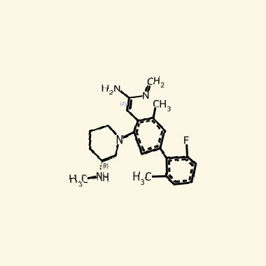 C=N/C(N)=C\c1c(C)cc(-c2c(C)cccc2F)cc1N1CCC[C@@H](NC)C1